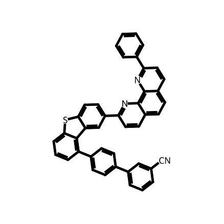 N#Cc1cccc(-c2ccc(-c3cccc4sc5ccc(-c6ccc7ccc8ccc(-c9ccccc9)nc8c7n6)cc5c34)cc2)c1